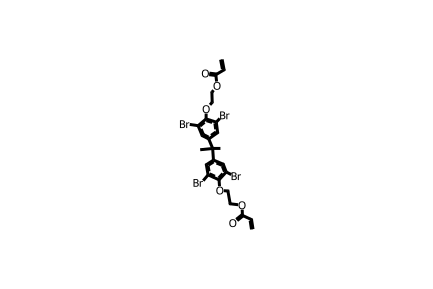 C=CC(=O)OCCOc1c(Br)cc(C(C)(C)c2cc(Br)c(OCCOC(=O)C=C)c(Br)c2)cc1Br